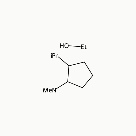 CCO.CNC1CCCC1C(C)C